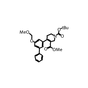 COCOc1cc(C2=C(C(=O)OC)CN(C(=O)OC(C)(C)C)CC2)cc(-c2ccccc2)c1